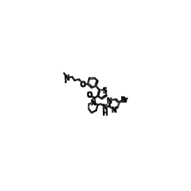 CN(C)CCCOc1cccc(-c2sccc2C(=O)N2CCCCC2CNc2ncc(Br)cn2)c1